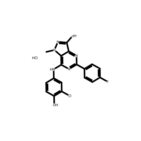 CCCc1nn(C)c2c(Nc3ccc(O)c(Cl)c3)nc(-c3ccc(F)cc3)nc12.Cl